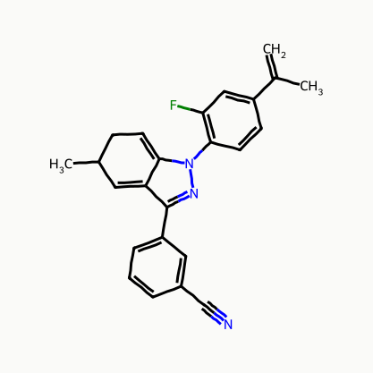 C=C(C)c1ccc(-n2nc(-c3cccc(C#N)c3)c3c2=CCC(C)C=3)c(F)c1